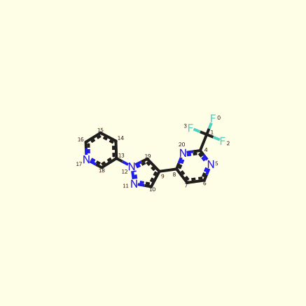 FC(F)(F)c1nccc(-c2cnn(-c3cccnc3)c2)n1